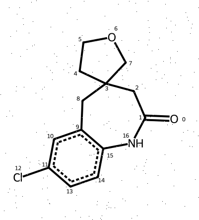 O=C1CC2(CCOC2)Cc2cc(Cl)ccc2N1